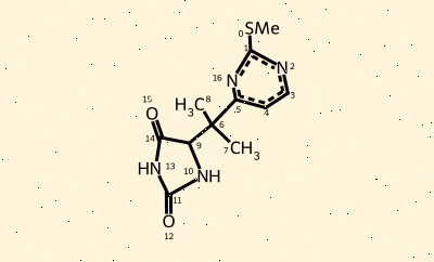 CSc1nccc(C(C)(C)C2NC(=O)NC2=O)n1